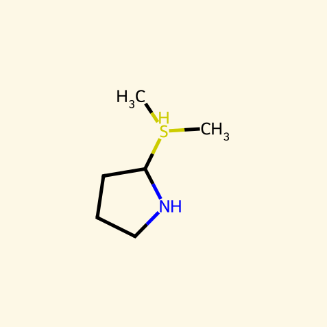 C[SH](C)C1CCCN1